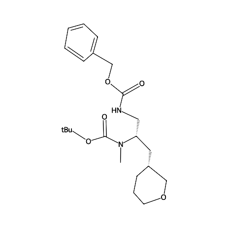 CN(C(=O)OC(C)(C)C)[C@H](CNC(=O)OCc1ccccc1)C[C@H]1CCCOC1